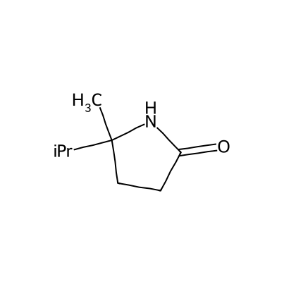 CC(C)C1(C)CCC(=O)N1